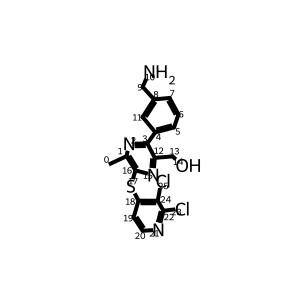 Cc1nc(-c2cccc(CN)c2)c(CO)nc1Sc1ccnc(Cl)c1Cl